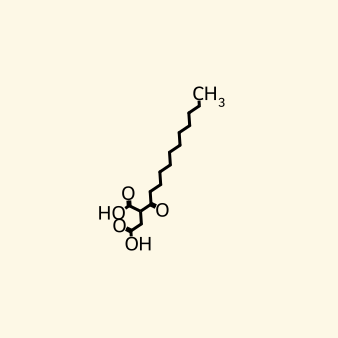 CCCCCCCCCCCC(=O)C(CC(=O)O)C(=O)O